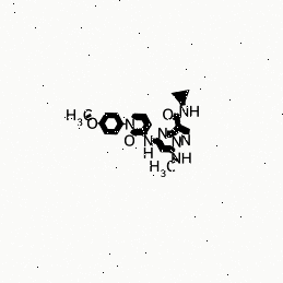 CNc1cc(Nc2cccn([C@H]3CC[C@@H](OC)CC3)c2=O)nc2c(C(=O)NC3CC3)cnn12